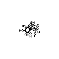 O=P(O)(O)OP(=O)(O)OP(=O)(O)O[C@@H]1[C@@H](O)[C@H](O)[C@H](O)[C@H](O)[C@@H]1O